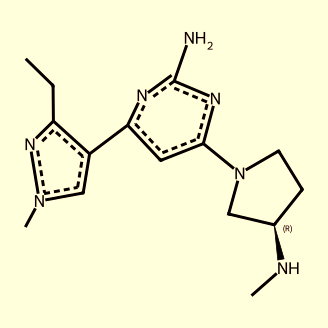 CCc1nn(C)cc1-c1cc(N2CC[C@@H](NC)C2)nc(N)n1